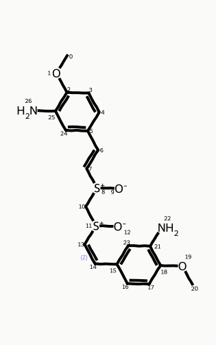 COc1ccc(C=C[S+]([O-])C[S+]([O-])/C=C\c2ccc(OC)c(N)c2)cc1N